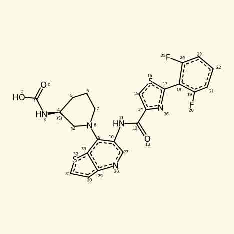 O=C(O)N[C@H]1CCCN(c2c(NC(=O)c3csc(-c4c(F)cccc4F)n3)cnc3ccsc23)C1